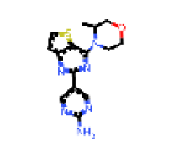 CC1COCCN1c1nc(-c2cnc(N)nc2)nc2ccsc12